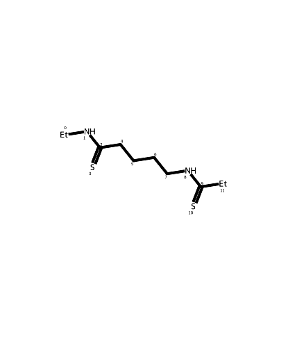 CCNC(=S)CCCCNC(=S)CC